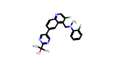 CN(Cc1c(Cl)cnc2ccc(-c3cnc(C(C)(C)O)nc3)cc12)c1ccccc1F